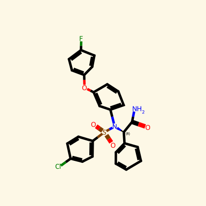 NC(=O)[C@@H](c1ccccc1)N(c1cccc(Oc2ccc(F)cc2)c1)S(=O)(=O)c1ccc(Cl)cc1